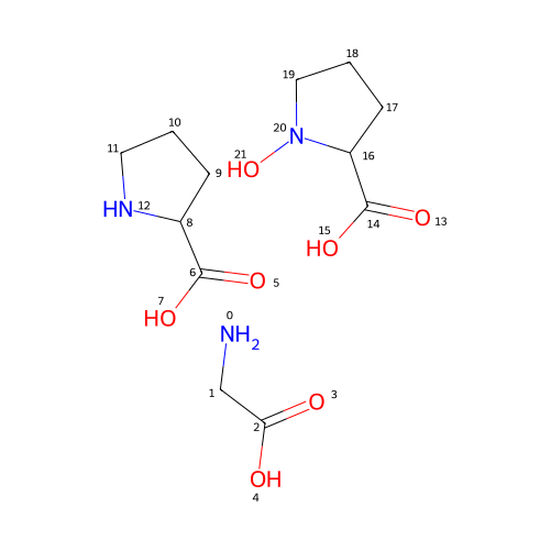 NCC(=O)O.O=C(O)C1CCCN1.O=C(O)C1CCCN1O